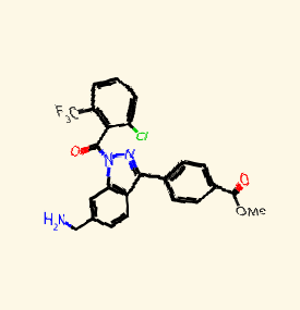 COC(=O)c1ccc(-c2nn(C(=O)c3c(Cl)cccc3C(F)(F)F)c3cc(CN)ccc23)cc1